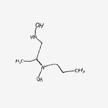 CCCN(O)C(C)CNO